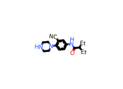 CCC(CC)C(=O)Nc1ccc(N2CCNCC2)c(C#N)c1